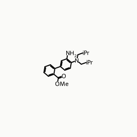 COC(=O)c1ccccc1-c1ccc(N(CC(C)C)CC(C)C)c(N)c1